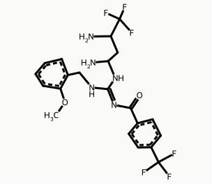 COc1ccccc1CN/C(=N/C(=O)c1ccc(C(F)(F)F)cc1)NC(N)CC(N)C(F)(F)F